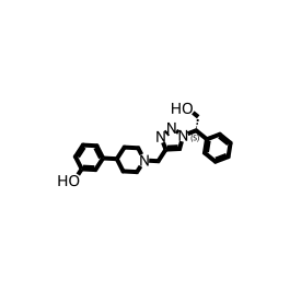 OC[C@H](c1ccccc1)n1cc(CN2CCC(c3cccc(O)c3)CC2)nn1